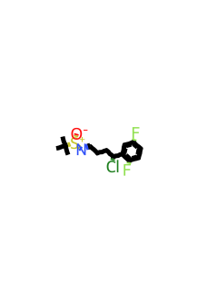 CC(C)(C)[S+]([O-])/N=C/CCC(Cl)c1cc(F)ccc1F